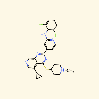 CN1CCC(Sc2nc(-c3ccnc(NC4=C(F)CCC=C4F)c3)nc3cncc(C4CC4)c23)CC1